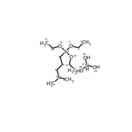 CCO[Si](CCCN(C)C)(OCC)OCC.O[SiH](O)O